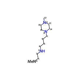 CNCCNCCCCN1CCN(C)CC1